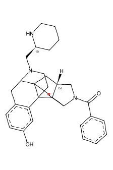 O=C(c1ccccc1)N1C[C@H]2CC34CCC1C2C31CCN(C[C@@H]2CCCCN2)C4Cc2ccc(O)cc21